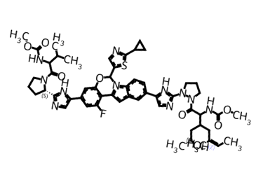 C/C=C(/C)CC(C[C@@H](C)O)C(NC(=O)OC)C(=O)N1CCCN1c1ncc(-c2ccc3c(c2)cc2n3C(c3cnc(C4CC4)s3)Oc3cc(-c4cnc([C@@H]5CCCN5C(=O)C(NC(=O)OC)C(C)C)[nH]4)cc(F)c3-2)[nH]1